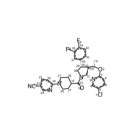 C[C@H](Oc1ccc(Cl)cn1)[C@H]1CN(C(=O)C2CCN(c3ccc(C#N)cn3)CC2)C[C@@H]1c1ccc(F)c(F)c1